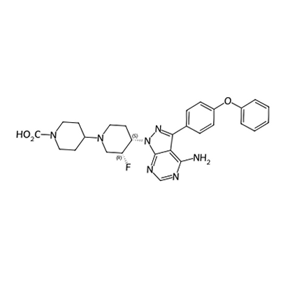 Nc1ncnc2c1c(-c1ccc(Oc3ccccc3)cc1)nn2[C@H]1CCN(C2CCN(C(=O)O)CC2)C[C@H]1F